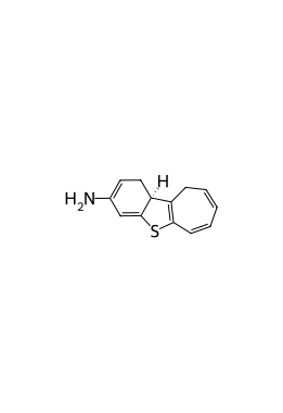 NC1=CC[C@@H]2C(=C1)SC1=C2CC=CC=C1